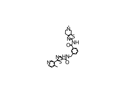 Cc1ccncc1-c1ncc(C(=O)NCc2cccc(C(=O)Nc3nc4c(s3)CN(C)CC4)c2)s1